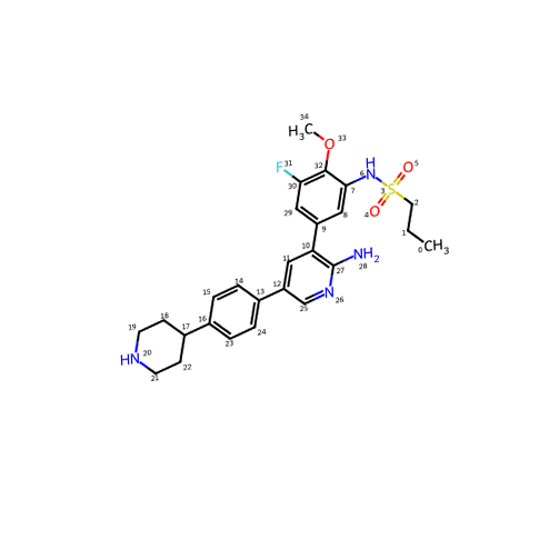 CCCS(=O)(=O)Nc1cc(-c2cc(-c3ccc(C4CCNCC4)cc3)cnc2N)cc(F)c1OC